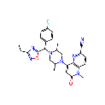 CCc1noc(C(c2ccc(F)cc2)N2C[C@H](C)N(c3cc(=O)n(C)c4ccc(C#N)nc34)CC2C)n1